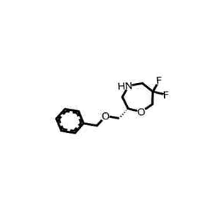 FC1(F)CNC[C@@H](COCc2ccccc2)OC1